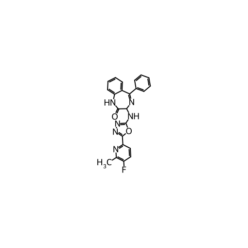 Cc1nc(-c2nnc(NC3N=C(c4ccccc4)c4ccccc4NC3=O)o2)ccc1F